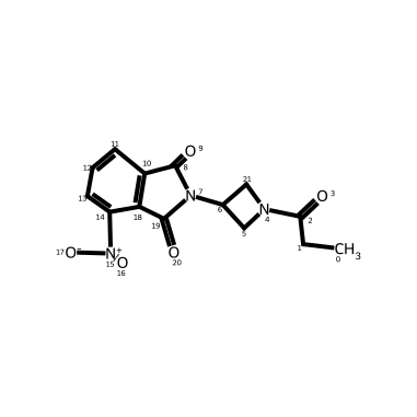 CCC(=O)N1CC(N2C(=O)c3cccc([N+](=O)[O-])c3C2=O)C1